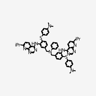 CC(C)c1ccc2c(Nc3cc(CN(Cc4ccc(Sc5ccc(N(C)C)cc5)c(Nc5ncnc6nc(C(C)C)ccc56)c4)c4ccccc4)ccc3Sc3ccc(N(C)C)cc3)ncnc2n1